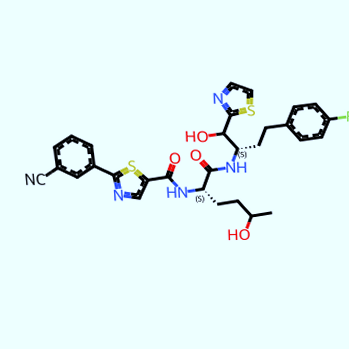 CC(O)CC[C@H](NC(=O)c1cnc(-c2cccc(C#N)c2)s1)C(=O)N[C@@H](CCc1ccc(F)cc1)C(O)c1nccs1